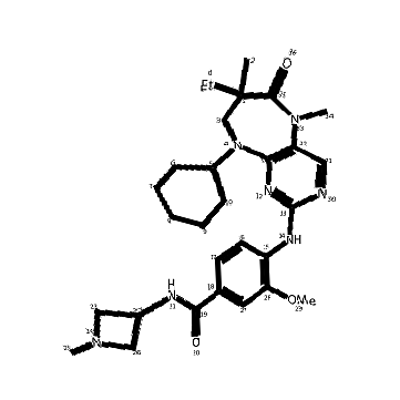 CCC1(C)CN(C2CCCCC2)c2nc(Nc3ccc(C(=O)NC4CN(C)C4)cc3OC)ncc2N(C)C1=O